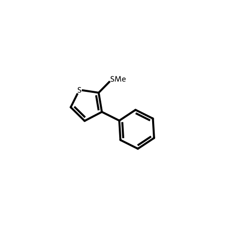 CSc1sccc1-c1ccccc1